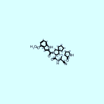 COc1cccc2[nH]c(C(=O)N3CC4(CCCC4)C[C@H]3C(=O)NC(C#N)C[C@@H]3CCNC3=O)cc12